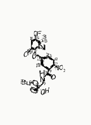 CCC(C)OP(=O)(O)CNC(=O)c1cc(Oc2ncc(C(F)(F)F)cc2Cl)ccc1[N+](=O)[O-]